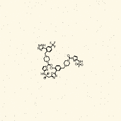 CS(=O)(=O)Nc1ccn(C(=O)N2CCN(Cc3ccc(Cl)c(-c4nnc(CS(=O)(=O)Nc5ccn(C(=O)N6CCN(Cc7ccc(C(F)(F)F)cc7-c7nnn[nH]7)CC6)n5)o4)c3)CC2)n1